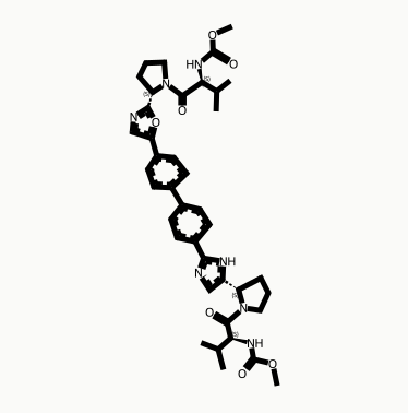 COC(=O)N[C@H](C(=O)N1CCC[C@H]1c1cnc(-c2ccc(-c3ccc(-c4cnc([C@@H]5CCCN5C(=O)[C@@H](NC(=O)OC)C(C)C)o4)cc3)cc2)[nH]1)C(C)C